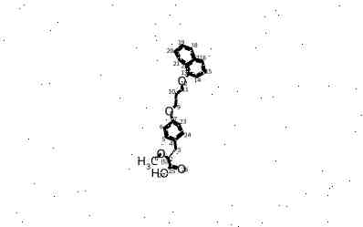 CO[C@@H](Cc1ccc(OCCCOc2cccc3ccccc23)cc1)C(=O)O